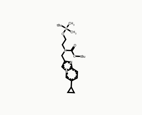 CC(C)(C)OC(=O)N(CCO[Si](C)(C)C(C)(C)C)Cc1cn2cc(C3CC3)ccc2n1